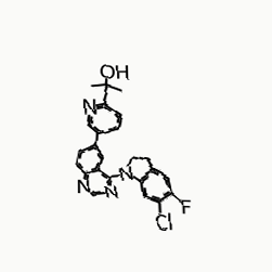 CC(C)(O)c1ccc(-c2ccc3ncnc(N4CCc5cc(F)c(Cl)cc54)c3c2)cn1